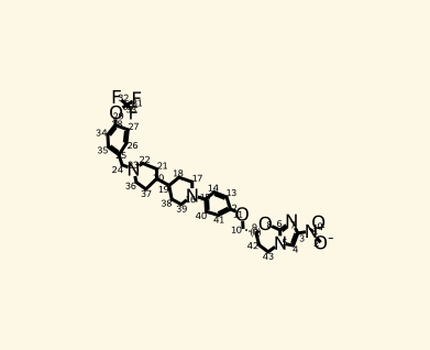 O=[N+]([O-])c1cn2c(n1)O[C@@H](COc1ccc(N3CCC(C4CCN(Cc5ccc(OC(F)(F)F)cc5)CC4)CC3)cc1)CC2